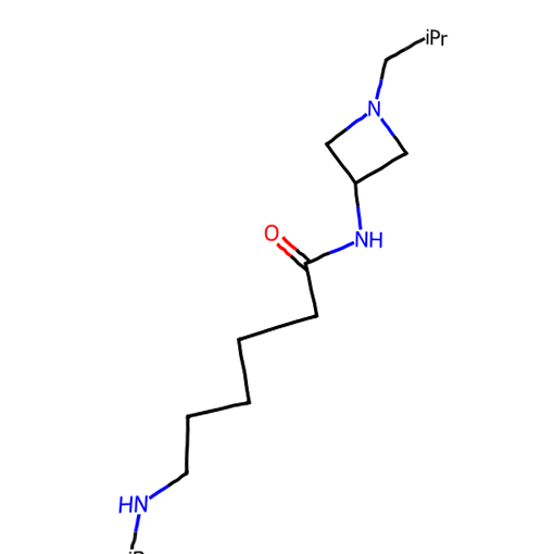 CC(C)CN1CC(NC(=O)CCCCCNC(C)C)C1